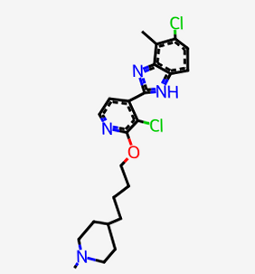 Cc1c(Cl)ccc2[nH]c(-c3ccnc(OCCCCC4CCN(C)CC4)c3Cl)nc12